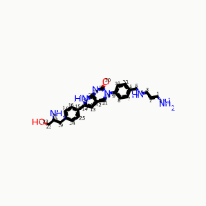 NCCCNCc1ccc(-n2cc3cc(-c4ccc(C[C@H](N)CO)cc4)[nH]c3nc2=O)cc1